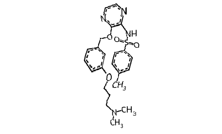 Cc1ccc(S(=O)(=O)Nc2nccnc2OCc2cccc(OCCCN(C)C)c2)cc1